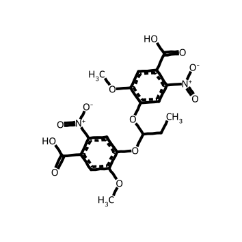 CCC(Oc1cc([N+](=O)[O-])c(C(=O)O)cc1OC)Oc1cc([N+](=O)[O-])c(C(=O)O)cc1OC